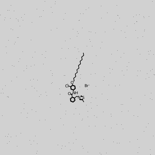 CCCCCCCCCCCCCCOc1ccc(NC(=O)c2ccccc2C[n+]2csc(C)c2)cc1Cl.[Br-]